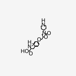 NC(Cc1ccc(OCC2CN(C3CCNCC3)C(=O)O2)cc1)C(=O)O